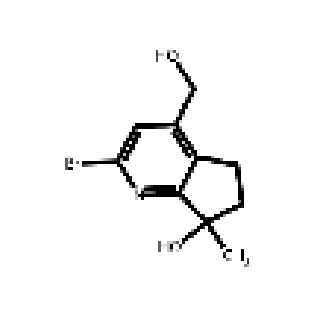 CC1(O)CCc2c(CO)cc(Br)nc21